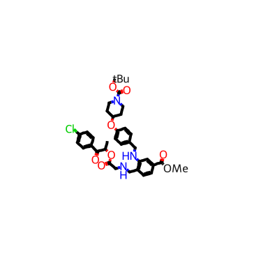 COC(=O)c1ccc(CNCC(=O)OC(C)C(=O)c2ccc(Cl)cc2)c(NCc2ccc(OC3CCN(C(=O)OC(C)(C)C)CC3)cc2)c1